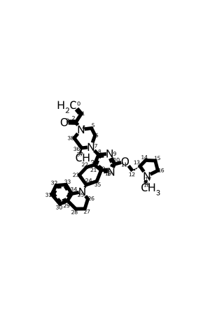 C=CC(=O)N1CCN(c2nc(OC[C@@H]3CCCN3C)nc3c2CC[C@H](N2CCCc4ccccc42)C3)[C@@H](C)C1